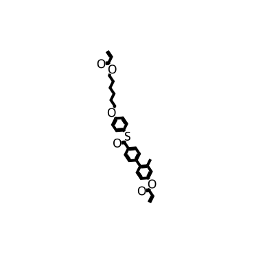 C=CC(=O)OCCCCCCOc1ccc(SC(=O)c2ccc(-c3ccc(OC(=O)C=C)cc3C)cc2)cc1